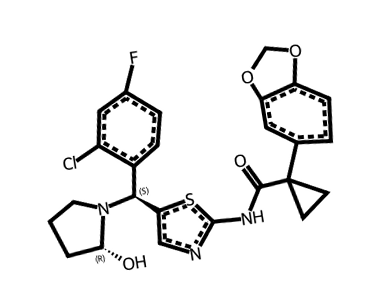 O=C(Nc1ncc([C@H](c2ccc(F)cc2Cl)N2CCC[C@H]2O)s1)C1(c2ccc3c(c2)OCO3)CC1